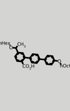 CCCCCCCCOc1ccc(-c2ccc(-c3cc(C(C)OCCCCCC)ccc3C(=O)O)cc2)cc1